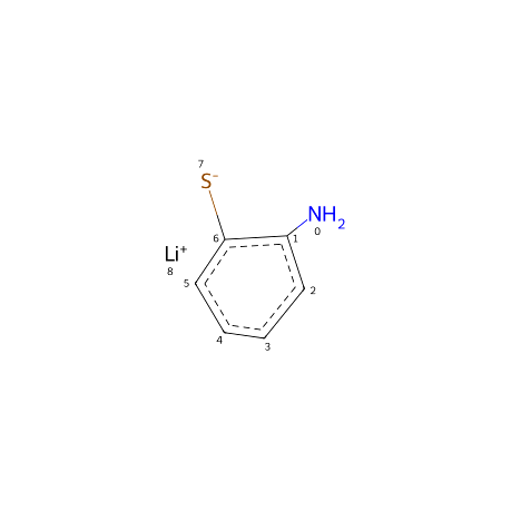 Nc1ccccc1[S-].[Li+]